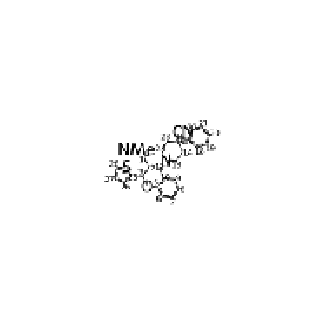 CNCCC(Oc1ccccc1CN1CCC(C#N)(c2ccccc2)CC1)c1cccs1